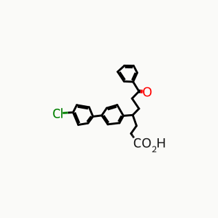 O=C(O)CCC(CCC(=O)c1ccccc1)c1ccc(-c2ccc(Cl)cc2)cc1